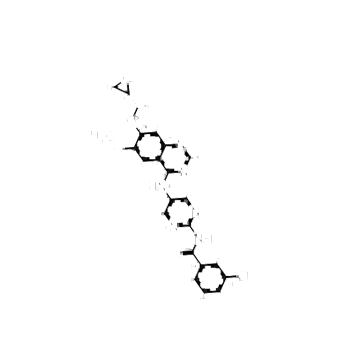 COc1cc2c(Nc3cnc(NC(=O)c4cccc(Cl)c4)nc3)ncnc2cc1OC[C@@H]1CO1